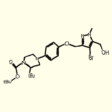 Cn1nc(COc2ccc(N3CCN(C(=O)OC(C)(C)C)C(C(C)(C)C)C3)cc2)c(Br)c1CO